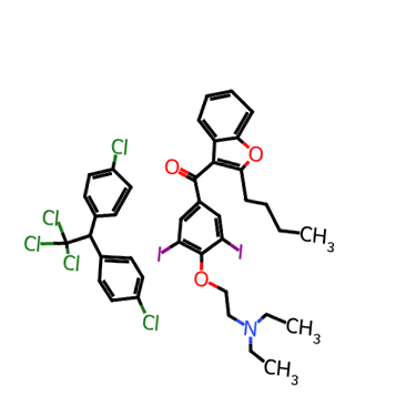 CCCCc1oc2ccccc2c1C(=O)c1cc(I)c(OCCN(CC)CC)c(I)c1.Clc1ccc(C(c2ccc(Cl)cc2)C(Cl)(Cl)Cl)cc1